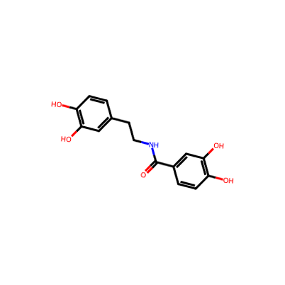 O=C(NCCc1ccc(O)c(O)c1)c1ccc(O)c(O)c1